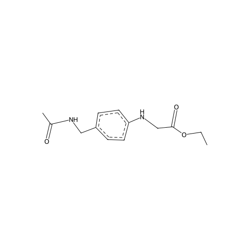 CCOC(=O)CNc1ccc(CNC(C)=O)cc1